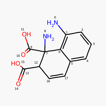 Nc1cccc2c1C(N)(C(=O)O)C(C(=O)O)C=C2